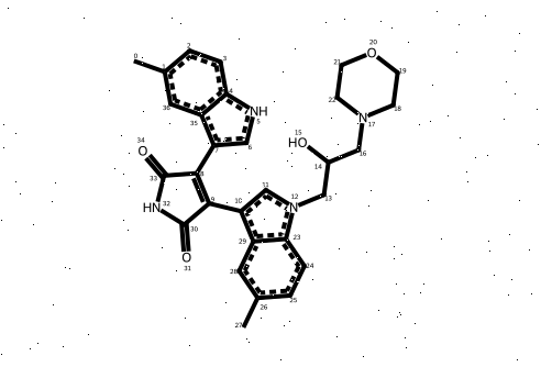 Cc1ccc2[nH]cc(C3=C(c4cn(CC(O)CN5CCOCC5)c5ccc(C)cc45)C(=O)NC3=O)c2c1